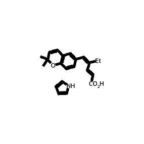 CCC(C=CC(=O)O)=Cc1ccc2c(c1)C=CC(C)(C)O2.c1cc[nH]c1